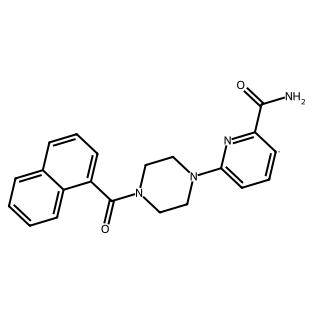 NC(=O)c1[c]ccc(N2CCN(C(=O)c3cccc4ccccc34)CC2)n1